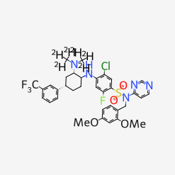 [2H]C([2H])([2H])N([C@H]1C[C@@H](c2cccc(C(F)(F)F)c2)CC[C@@H]1Nc1cc(F)c(S(=O)(=O)N(Cc2ccc(OC)cc2OC)c2ccncn2)cc1Cl)C([2H])([2H])[2H]